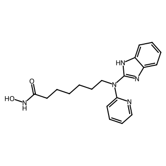 O=C(CCCCCCN(c1ccccn1)c1nc2ccccc2[nH]1)NO